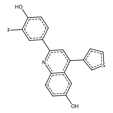 Oc1ccc2nc(-c3ccc(O)c(F)c3)cc(-c3ccsc3)c2c1